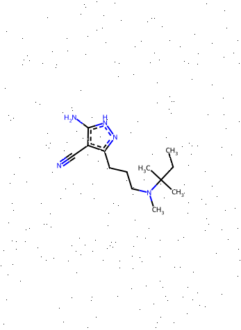 CCC(C)(C)N(C)CCCc1n[nH]c(N)c1C#N